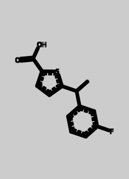 CC(c1cccc(F)c1)c1ccc(C(=O)O)s1